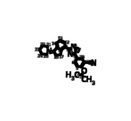 CC(C)Oc1ccc(-c2nc(-c3cccc4c3CCC4N3CCCCC3)no2)cc1C#N